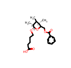 CC1[C@H](C)C(COC(=O)c2ccccc2)O[C@H](OCCCCC(=O)O)[C@@H]1C